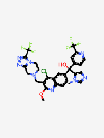 COc1nc2ccc([C@](O)(c3ccnc(C(F)(F)F)c3)c3cncn3C)cc2c(Cl)c1CN1CCn2c(nnc2C(F)(F)F)C1